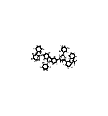 CC1(C)c2ccccc2-c2c(-c3nc(-c4ccccc4)nc(-c4ccc5c(c4)c4ccc(-n6c7ccccc7c7cccnc76)cc4n5-c4ccccc4)n3)cccc21